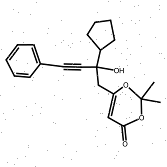 CC1(C)OC(=O)C=C(CC(O)(C#Cc2ccccc2)C2CCCC2)O1